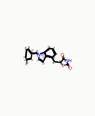 O=C1NC(=O)C(Cc2cccc3c2ccn3Cc2cccc(F)c2)S1